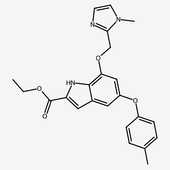 CCOC(=O)c1cc2cc(Oc3ccc(C)cc3)cc(OCc3nccn3C)c2[nH]1